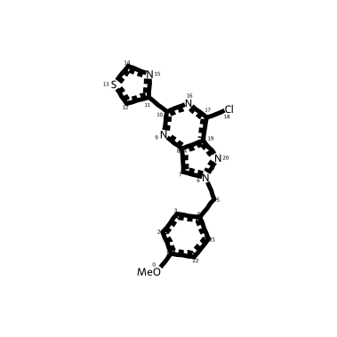 COc1ccc(Cn2cc3nc(-c4cscn4)nc(Cl)c3n2)cc1